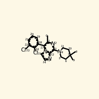 Cc1nc(N2CCC(C)(C)CC2)c2nccn2c1-c1cccc(Cl)c1Cl